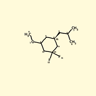 COC1C[C@@H](CC(C)C)CC(F)(F)C1